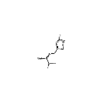 CSC(=NCc1cnc(Cl)s1)N(C)C